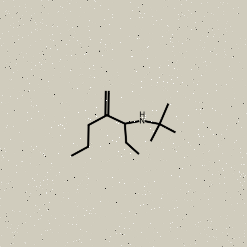 C=C(CCC)C(CC)NC(C)(C)C